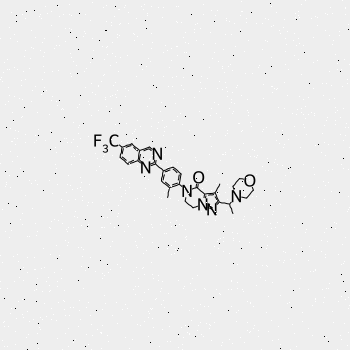 Cc1cc(-c2ncc3cc(C(F)(F)F)ccc3n2)ccc1N1CCn2nc(C(C)N3CCOCC3)c(C)c2C1=O